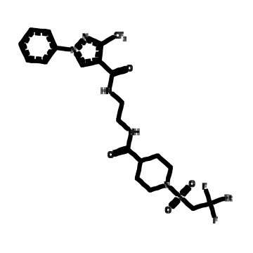 CCC(F)(F)CS(=O)(=O)N1CCC(C(=O)NCCNC(=O)c2cn(-c3ccccc3)nc2C(F)(F)F)CC1